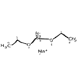 CCO[BH2-]OCC.[Na+]